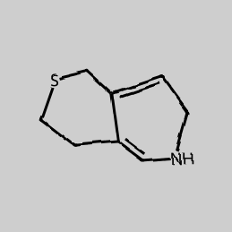 C1=C2CCSCC2=CCN1